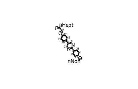 CCCCCCCCCOc1ccc(-c2ncc(-c3ccc(OCC(F)CCCCCCC)cc3)cn2)cc1